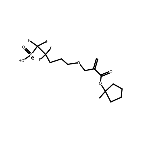 C=C(COCCCC(F)(F)C(F)(F)S(=O)(=O)O)C(=O)OC1(C)CCCC1